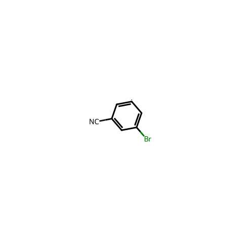 N#Cc1c[c]cc(Br)c1